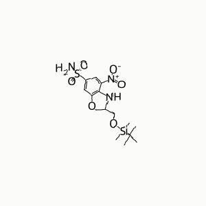 CC(C)(C)[Si](C)(C)OCC1COc2cc(S(N)(=O)=O)cc([N+](=O)[O-])c2N1